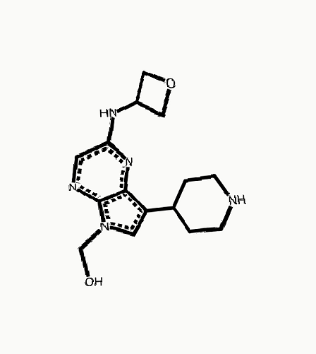 OCn1cc(C2CCNCC2)c2nc(NC3COC3)cnc21